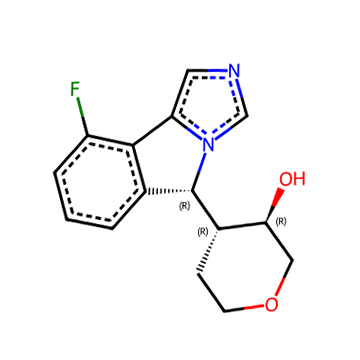 O[C@H]1COCC[C@@H]1[C@@H]1c2cccc(F)c2-c2cncn21